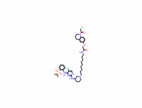 CC(C)S(=O)(=O)c1ccccc1Nc1nc(NC2CCCN(CCCCCCCCCNC(=O)COc3ccc4c(c3)CCCN4C(=O)CCl)C2)ncc1Cl